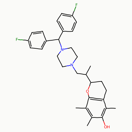 Cc1c(C)c2c(c(C)c1O)CCC(C(C)CN1CCN(C(c3ccc(F)cc3)c3ccc(F)cc3)CC1)O2